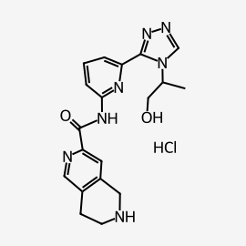 CC(CO)n1cnnc1-c1cccc(NC(=O)c2cc3c(cn2)CCNC3)n1.Cl